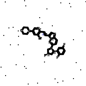 Fc1ccc(F)c([C@H]2C[C@H](F)CN2c2ccc3ncc(/C=C/c4ncc(N5CCOCC5)cc4Br)n3n2)c1